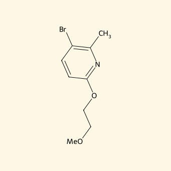 COCCOc1ccc(Br)c(C)n1